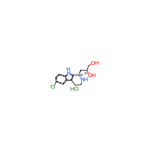 Cl.OC[C@@H](O)C[C@H]1NCCc2c1[nH]c1ccc(Cl)cc21